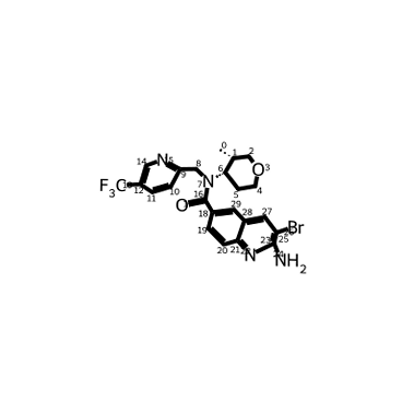 C[C@@H]1COCC[C@@H]1N(Cc1ccc(C(F)(F)F)cn1)C(=O)c1ccc2nc(N)c(Br)cc2c1